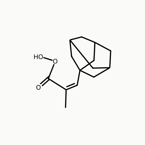 CC(=CC12CC3CC(CC(C3)C1)C2)C(=O)OO